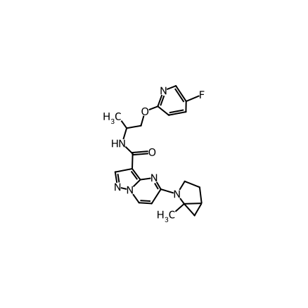 CC(COc1ccc(F)cn1)NC(=O)c1cnn2ccc(N3CCC4CC43C)nc12